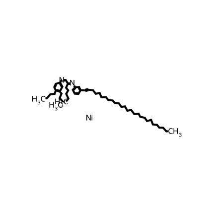 CCCCCCCCCCCCCCCCCCCCCCCCCC#Cc1cccc(/N=C(/C=N\c2ccc(CCCC)c(CCCC)c2)CCCCC)c1.[Ni]